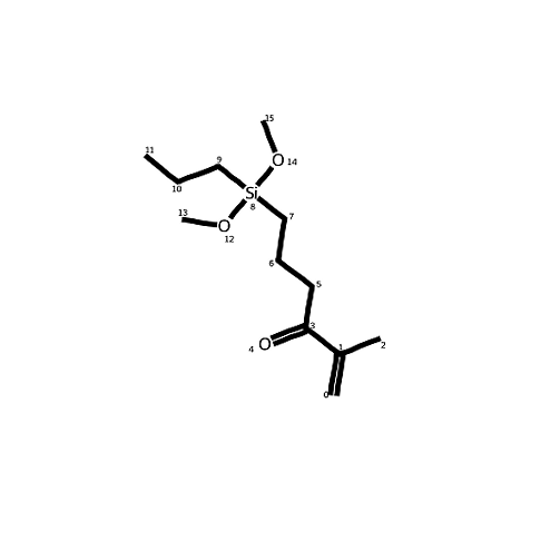 C=C(C)C(=O)CCC[Si](CCC)(OC)OC